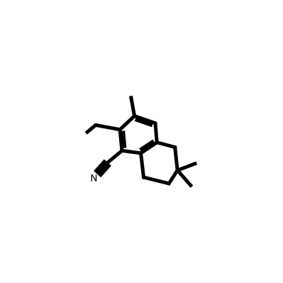 CCc1c(C)cc2c(c1C#N)CCC(C)(C)C2